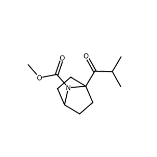 COC(=O)N1C2CCC1(C(=O)C(C)C)CC2